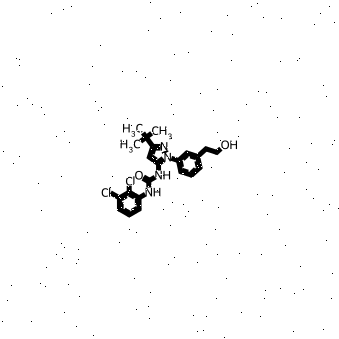 CC(C)(C)c1cc(NC(=O)Nc2cccc(Cl)c2Cl)n(-c2cccc(CCO)c2)n1